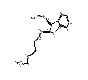 CO/N=C1\C(=N\OCCSCC(=O)O)Oc2ccccc21